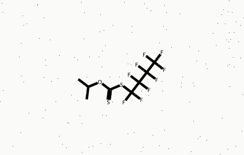 CC(C)OC(=S)SC(F)(F)C(F)(F)C(F)(F)C(F)(F)F